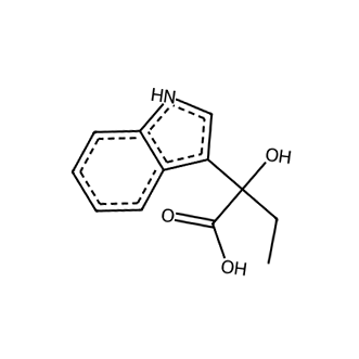 CCC(O)(C(=O)O)c1c[nH]c2ccccc12